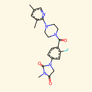 Cc1cnc(N2CCN(C(=O)c3ccc(N4CC(=O)N(C)C4=O)cc3F)CC2)c(C)c1